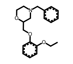 CCOc1ccccc1OCC1CN(Cc2ccccc2)CCO1